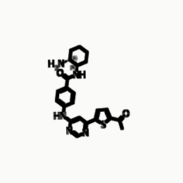 CC(=O)c1ccc(-c2cc(Nc3ccc(C(=O)N[C@@H]4CCCC[C@H]4N)cc3)ncn2)s1